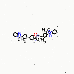 C/C=c1\c(=C/Cc2ccc(-c3nc4ccccc4n3C)cc2)oc2cc(C3=CCC(c4nc5ccccc5n4C)C=C3)ccc12